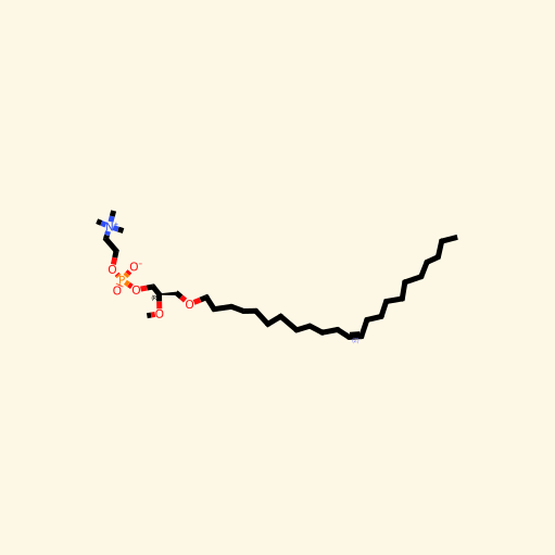 CCCCCCCCCC/C=C\CCCCCCCCCCCOC[C@H](COP(=O)([O-])OCC[N+](C)(C)C)OC